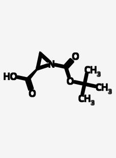 CC(C)(C)OC(=O)N1C[C@@H]1C(=O)O